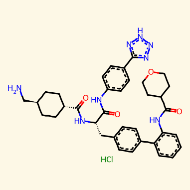 Cl.NC[C@H]1CC[C@H](C(=O)N[C@@H](Cc2ccc(-c3ccccc3NC(=O)C3CCOCC3)cc2)C(=O)Nc2ccc(-c3nn[nH]n3)cc2)CC1